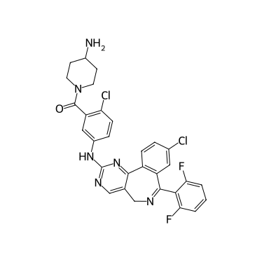 NC1CCN(C(=O)c2cc(Nc3ncc4c(n3)-c3ccc(Cl)cc3C(c3c(F)cccc3F)=NC4)ccc2Cl)CC1